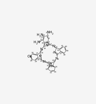 Nc1cc2c3nc4nc(nc5[nH]c(nc6nc(nc([nH]3)c2c(N)c1N)-c1ccccc1-6)c1ccccc51)-c1ccccc1-4.[Cu]